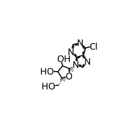 OC[C@H]1O[C@@H](n2cnc3c(Cl)ncnc32)C(O)C1O